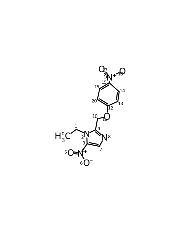 CCn1c([N+](=O)[O-])cnc1COc1ccc([N+](=O)[O-])cc1